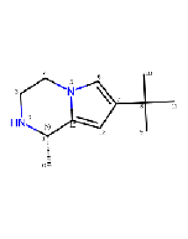 C[C@@H]1NCCn2cc(C(C)(C)C)cc21